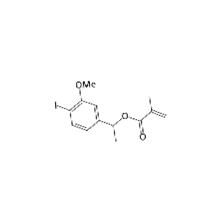 C=C(C)C(=O)OC(C)c1ccc(I)c(OC)c1